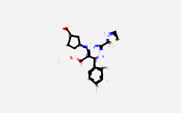 COC(=O)C1=C(C2CCC(C(=O)O)C2)NC(c2nccs2)=NC1c1ccc(F)cc1Cl